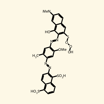 CNc1ccc2cc(SOOO)c(N=Nc3cc(C)c(N=Nc4ccc5c(S(=O)(=O)O)cccc5c4S(=O)(=O)O)cc3OC)c(O)c2c1